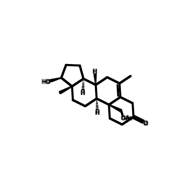 CC(=O)OC[C@]12CCC(=O)CC1=C(C)C[C@@H]1[C@@H]2CC[C@]2(C)[C@@H](O)CC[C@@H]12